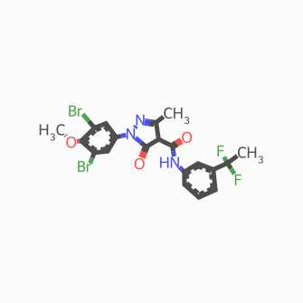 COc1c(Br)cc(N2N=C(C)C(C(=O)Nc3cccc(C(C)(F)F)c3)C2=O)cc1Br